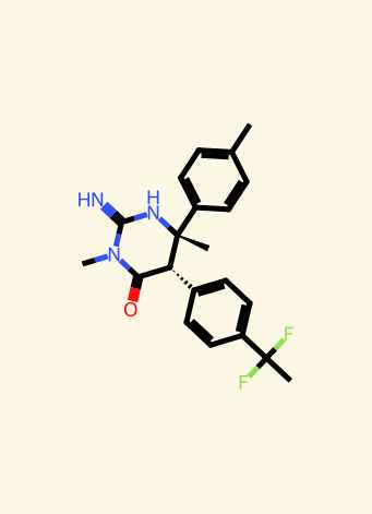 Cc1ccc([C@@]2(C)NC(=N)N(C)C(=O)[C@H]2c2ccc(C(C)(F)F)cc2)cc1